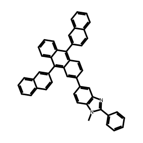 Cn1c(-c2ccccc2)nc2cc(-c3ccc4c(-c5ccc6ccccc6c5)c5ccccc5c(-c5ccc6ccccc6c5)c4c3)ccc21